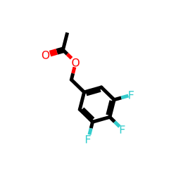 CC(=O)OCc1cc(F)c(F)c(F)c1